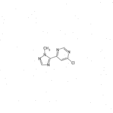 Cn1ncnc1-c1cc(Cl)ncn1